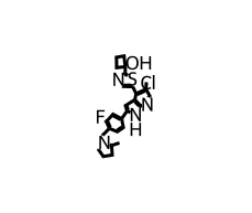 CC1CCCN1Cc1ccc(-c2cc3c(-c4cnc(C5(O)CCC5)s4)c(Cl)cnc3[nH]2)cc1F